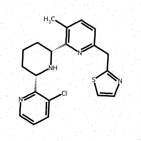 Cc1ccc(Cc2nccs2)nc1[C@H]1CCC[C@@H](c2ncccc2Cl)N1